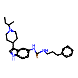 CCC(C)N1CCC(c2c[nH]c3ccc(NC(=S)NCCCc4ccccc4)cc23)CC1